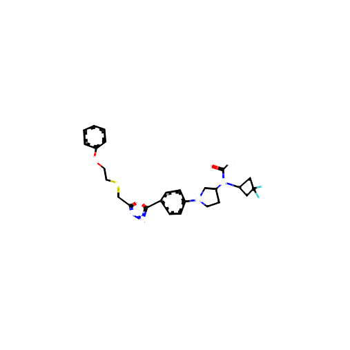 CC(=O)N(C1CCN(c2ccc(-c3nnc(CSCCOc4ccccc4)o3)cc2)C1)C1CC(F)(F)C1